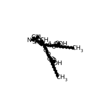 CCCCCCC/C=C/CC(CC(=O)OCCOCCOCCN(CCOCCOC(=O)CC(C/C=C/CCCCCCC)C(=O)O)c1ccc(/N=N/C2SC(C#N)=C(C)C2C#N)c(C)c1)C(=O)O